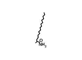 CCCCCCCCCCCCCCCC(C)C(N)=O